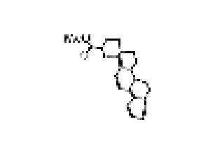 COC(=O)C1CCC2CCC3C(=C2C1)C=CC1=C2C=CC=CC2CCC13